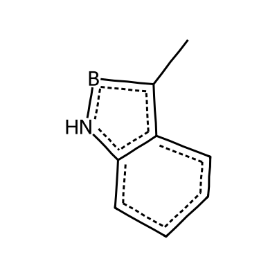 Cc1b[nH]c2ccccc12